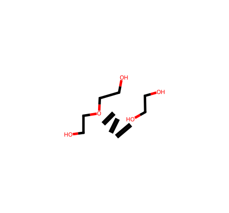 C=C.C=C.C=C.OCCO.OCCOCCO